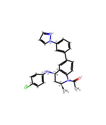 CC(=O)N1c2ccc(-c3cccc(-n4cccn4)c3)cc2[C@H](Nc2ccc(Cl)cc2)C[C@@H]1C